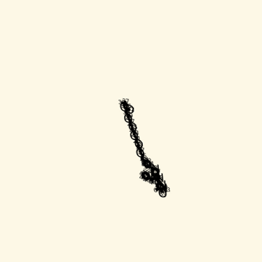 Cc1cc(-c2nc3cnc(C4CCN(CCOCCOCCOCCOCCOCCC(=O)OC(C)(C)C)CC4)cc3n2[C@@H](C)c2ccccc2)nn(C)c1=O